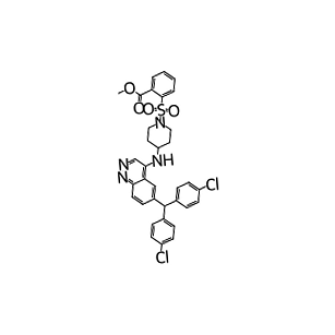 COC(=O)c1ccccc1S(=O)(=O)N1CCC(Nc2cnnc3ccc(C(c4ccc(Cl)cc4)c4ccc(Cl)cc4)cc23)CC1